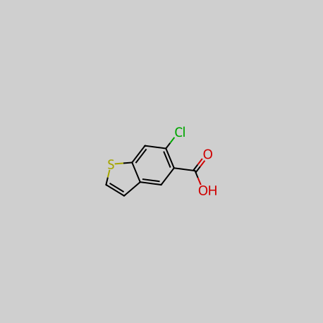 O=C(O)c1cc2ccsc2cc1Cl